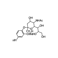 CCCc1ccc(OC2(C(=O)O)CC(O)C(NC(C)=O)C(C(O)C(O)CO)O2)c(OC)c1